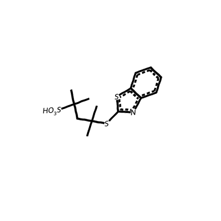 CC(C)(CC(C)(C)S(=O)(=O)O)Sc1nc2ccccc2s1